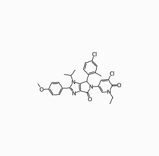 CCn1cc(N2C(=O)c3nc(-c4ccc(OC)cc4)n(C(C)C)c3C2c2ccc(Cl)cc2C)cc(Cl)c1=O